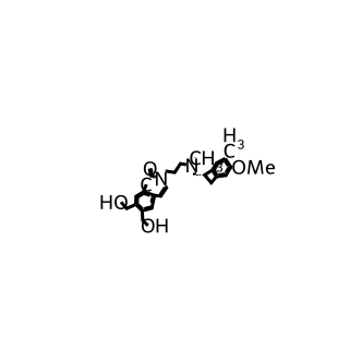 COc1cc2c(cc1C)[C@@H](CN(C)CCCN1C=Cc3cc(CO)c(CO)cc3CC1=O)C2